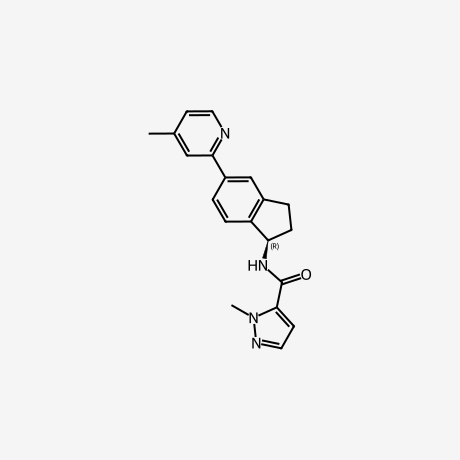 Cc1ccnc(-c2ccc3c(c2)CC[C@H]3NC(=O)c2ccnn2C)c1